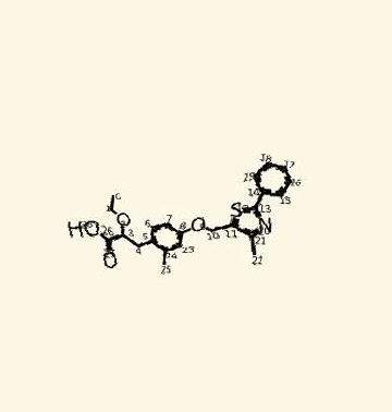 CCOC(Cc1ccc(OCc2sc(-c3ccccc3)nc2C)cc1C)C(=O)O